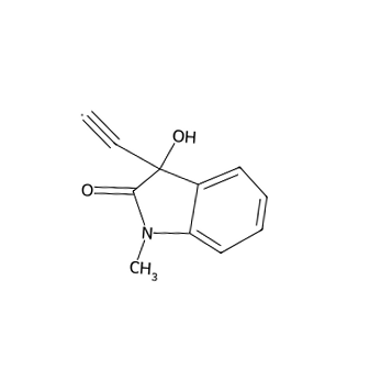 [C]#CC1(O)C(=O)N(C)c2ccccc21